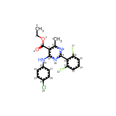 CCOC(=O)c1c(C)nc(-c2c(F)cccc2F)nc1Nc1ccc(Cl)cc1